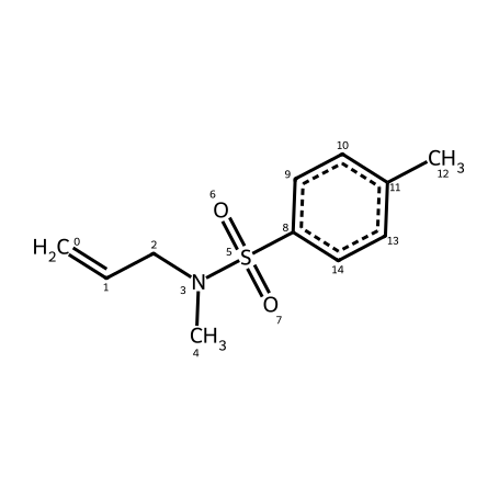 C=CCN(C)S(=O)(=O)c1ccc(C)cc1